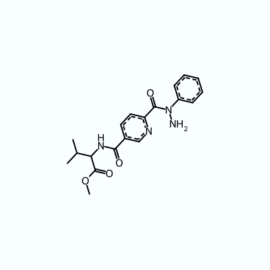 COC(=O)C(NC(=O)c1ccc(C(=O)N(N)c2ccccc2)nc1)C(C)C